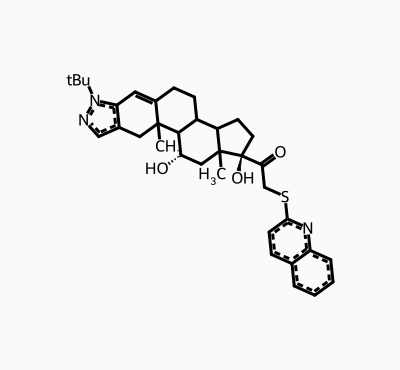 CC12Cc3cnn(C(C)(C)C)c3C=C1CCC1C2[C@@H](O)CC2(C)C1CC[C@]2(O)C(=O)CSc1ccc2ccccc2n1